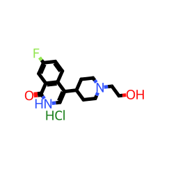 Cl.O=c1[nH]cc(C2CCN(CCO)CC2)c2ccc(F)cc12